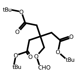 CC(C)(C)OC(=O)CC(COC=O)(CC(=O)OC(C)(C)C)CC(=O)OC(C)(C)C